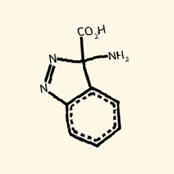 NC1(C(=O)O)N=Nc2ccccc21